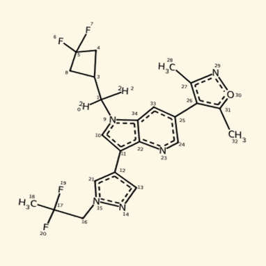 [2H]C([2H])(C1CC(F)(F)C1)n1cc(-c2cnn(CC(C)(F)F)c2)c2ncc(-c3c(C)noc3C)cc21